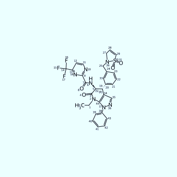 CCN1C(=O)[C@@H](NC(=O)c2nccc(C(F)(F)F)n2)[C@H](c2cccc(CN3CC=CS3(=O)=O)c2)c2cnn(-c3ccccc3)c21